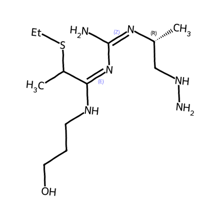 CCSC(C)/C(=N\C(N)=N/[C@H](C)CNN)NCCCO